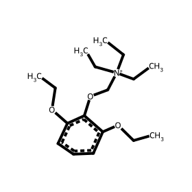 CCOc1cccc(OCC)c1OC[N+](CC)(CC)CC